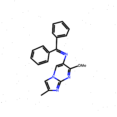 COc1nc2nc(C)cn2cc1N=C(c1ccccc1)c1ccccc1